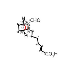 O=C[C@@H]1[C@@H](CCCCC=CC(=O)O)[C@@H]2CC[C@H]1O2